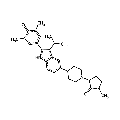 Cc1cc(-c2[nH]c3ccc(C4CCN(C5CCN(C)C5=O)CC4)cc3c2C(C)C)cn(C)c1=O